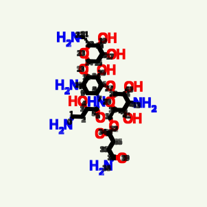 NCC[C@H](O)C(=O)N[C@@H]1C[C@H](N)[C@@H](O[C@@H]2C[C@@H](O)[C@H](O)[C@@H](CN)O2)[C@H](O)[C@H]1O[C@H]1O[C@H](COC(=O)CCC(N)=O)[C@@H](O)[C@H](N)[C@H]1O